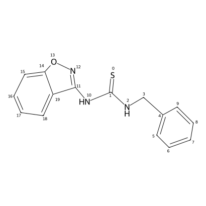 S=C(NCc1ccccc1)Nc1noc2ccccc12